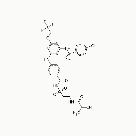 CC(C)C(=O)NCCS(=O)(=O)NC(=O)c1ccc(Nc2nc(NC3(c4ccc(Cl)cc4)CC3)nc(OCC(F)(F)F)n2)cc1